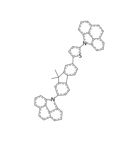 CC1(C)c2cc(-c3ccc(-n4c5cccc6ccc7cccc4c7c65)s3)ccc2-c2ccc(-n3c4cccc5ccc6cccc3c6c54)cc21